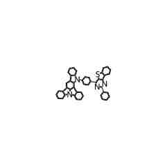 c1ccc(-c2nc(-c3ccc(-n4c5ccccc5c5cc6c7ccccc7n7c8ccccc8c(c54)c67)cc3)c3sc4ccccc4c3n2)cc1